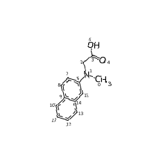 CN(CC(=O)O)c1ccc2ccccc2c1